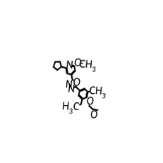 CCc1cc(-c2nnc(-c3cc(OC)nc(C4CCCC4)c3)o2)cc(C)c1OCC1CO1